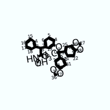 CC(Oc1cccc(C(C(=O)NO)c2ccccc2)c1)(c1ccc2c(c1)OCO2)c1ccc2c(c1)OCO2